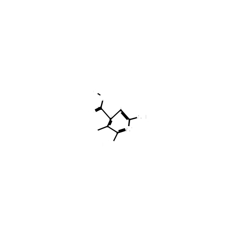 COC(=O)c1cc(N)nc(C)c1Br